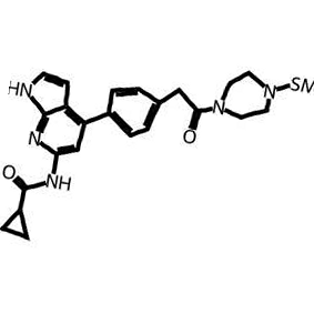 CSN1CCN(C(=O)Cc2ccc(-c3cc(NC(=O)C4CC4)nc4[nH]ccc34)cc2)CC1